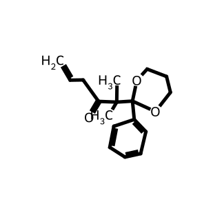 C=CCC(=O)C(C)(C)C1(c2ccccc2)OCCCO1